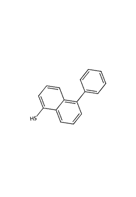 Sc1cccc2c(-c3ccccc3)cccc12